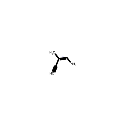 C#C/C(C)=C\N